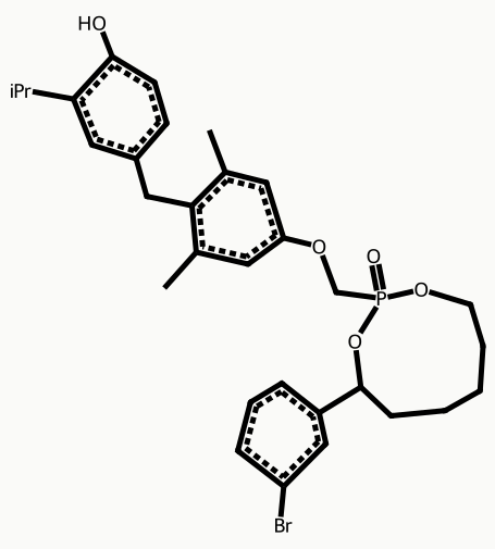 Cc1cc(OCP2(=O)OCCCCCC(c3cccc(Br)c3)O2)cc(C)c1Cc1ccc(O)c(C(C)C)c1